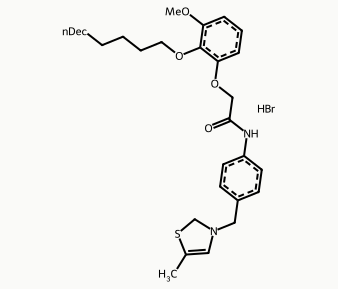 Br.CCCCCCCCCCCCCCOc1c(OC)cccc1OCC(=O)Nc1ccc(CN2C=C(C)SC2)cc1